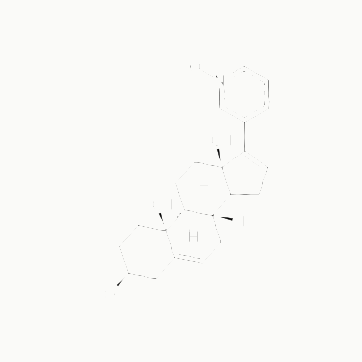 C[C@]12CC[C@H](O)CC1=CC[C@@H]1[C@@H]2CC[C@]2(C)C(c3ccc[n+]([O-])c3)=CC[C@@H]12